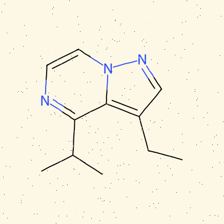 CCc1cnn2ccnc(C(C)C)c12